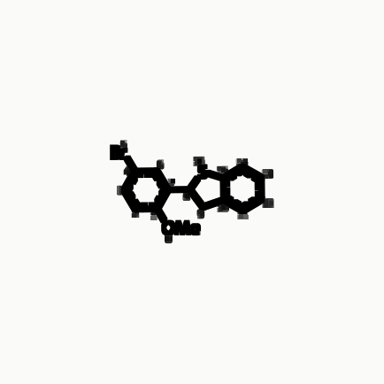 COc1ccc(Br)cc1C1Cc2ccccc2S1